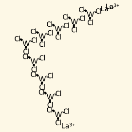 [Cl][W-]([Cl])[Cl].[Cl][W-]([Cl])[Cl].[Cl][W-]([Cl])[Cl].[Cl][W-]([Cl])[Cl].[Cl][W-]([Cl])[Cl].[Cl][W-]([Cl])[Cl].[Cl][W-]([Cl])[Cl].[Cl][W-]([Cl])[Cl].[Cl][W-]([Cl])[Cl].[La+3].[La+3].[La+3]